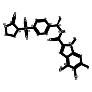 Cc1cc2c(cc(C(=O)N[C@H](C)c3ccc(S(=O)(=O)C4CCOC4=O)cc3)n2C)c(Cl)c1Cl